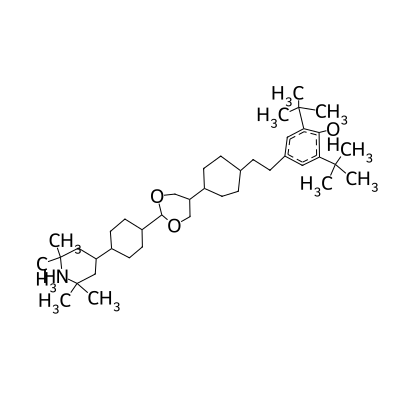 CC1(C)CC(C2CCC(C3OCC(C4CCC(CCc5cc(C(C)(C)C)c(O)c(C(C)(C)C)c5)CC4)CO3)CC2)CC(C)(C)N1